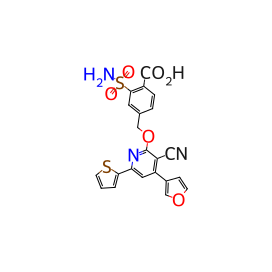 N#Cc1c(-c2ccoc2)cc(-c2cccs2)nc1OCc1ccc(C(=O)O)c(S(N)(=O)=O)c1